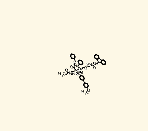 CCC(=O)NCC[C@H](C(=O)N(Cc1ccccc1)OCc1ccccc1)N(OCCOCCNC(=O)OCC1c2ccccc2-c2ccccc21)S(=O)(=O)c1ccc(-c2ccc(OC)cc2)cc1